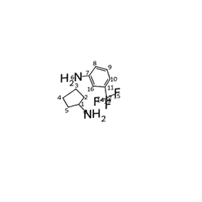 NC1CCCC1.Nc1cccc(C(F)(F)F)c1